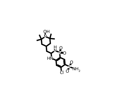 CC1(C)CC(CC2Nc3cc(Cl)c(S(N)(=O)=O)cc3S(=O)(=O)N2)CC(C)(C)N1O